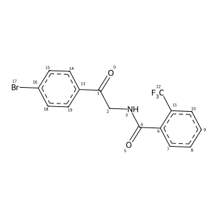 O=C(CNC(=O)c1ccccc1C(F)(F)F)c1ccc(Br)cc1